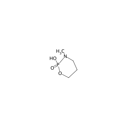 CN1CCCOP1(=O)O